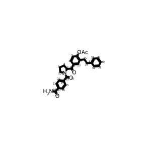 CC(=O)Oc1ccc(C(=O)C2CCCN2C(=O)c2ccc(C(N)=O)cc2)cc1CCc1ccccc1